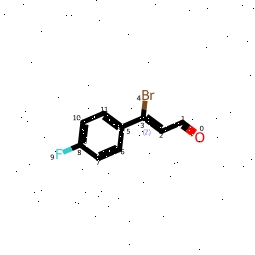 O=C/C=C(\Br)c1ccc(F)cc1